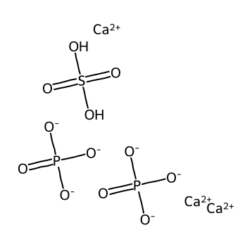 O=P([O-])([O-])[O-].O=P([O-])([O-])[O-].O=S(=O)(O)O.[Ca+2].[Ca+2].[Ca+2]